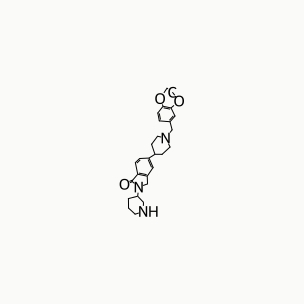 O=C1c2ccc(C3CCN(Cc4ccc5c(c4)OCCO5)CC3)cc2CN1C1CCCNC1